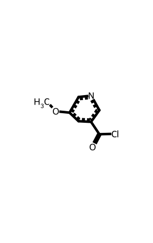 COc1cncc(C(=O)Cl)c1